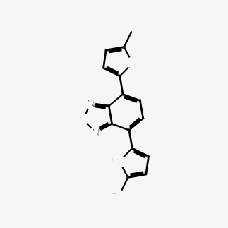 Cc1ccc(-c2ccc(-c3ccc(Br)s3)c3nsnc23)s1